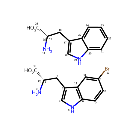 N[C@@H](Cc1c[nH]c2ccc(Br)cc12)C(=O)O.N[C@@H](Cc1c[nH]c2ccccc12)C(=O)O